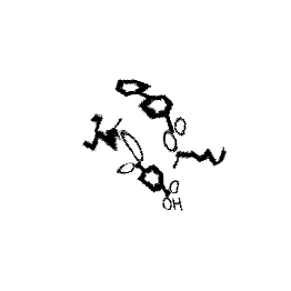 CCC(CC)C[C@@H](C)OC(=O)c1ccc(C(=O)O)cc1.CCCCC[C@@H](C)OC(=O)c1ccc(-c2ccccc2)cc1